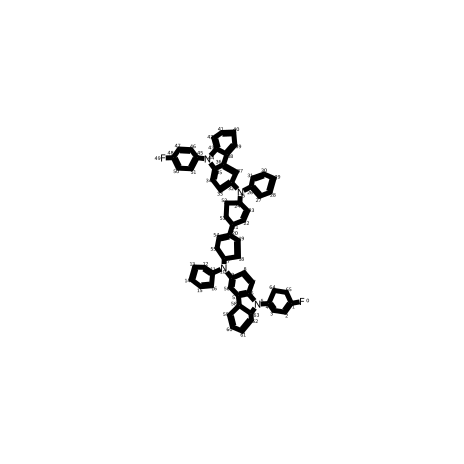 FC1=CC=C(N2c3ccc(N(c4ccccc4)C4C=CC(C5C=CC(N(c6ccccc6)c6ccc7c(c6)c6ccccc6n7-c6ccc(F)cc6)CC5)=CC4)cc3C3C=CC=CC32)CC1